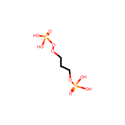 O=P(O)(O)OCCCOOP(=O)(O)O